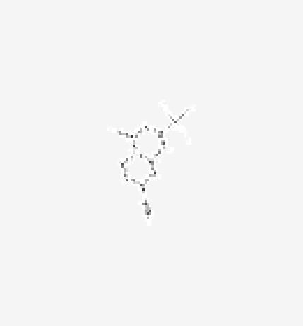 N#Cc1ccn2c(=O)cc(C(F)(F)F)nc2c1